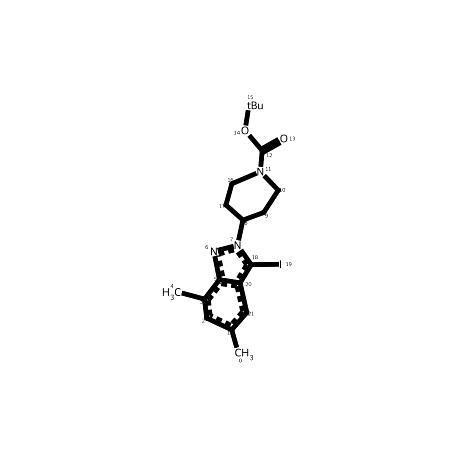 Cc1cc(C)c2nn(C3CCN(C(=O)OC(C)(C)C)CC3)c(I)c2c1